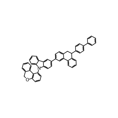 c1ccc(-c2ccc(C3Cc4ccc(-c5ccc6c(c5)c5ccccc5n6-c5cccc6c5-c5ccccc5CO6)cc4-c4ccccc43)cc2)cc1